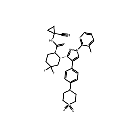 N#CC1(NC(=O)[C@@H]2CCC(F)(F)C[C@H]2c2nn(-c3ncccc3F)cc2-c2ccc(N3CCS(=O)(=O)CC3)cc2)CC1